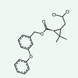 CC1(C)C(CC(Cl)Cl)[C@@H]1C(=O)OCc1cccc(Oc2ccccc2)c1